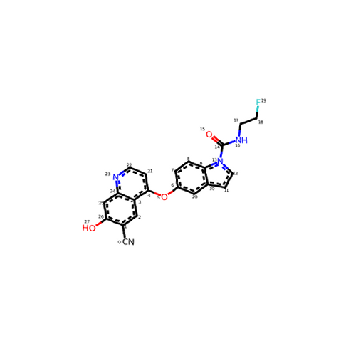 N#Cc1cc2c(Oc3ccc4c(ccn4C(=O)NCCF)c3)ccnc2cc1O